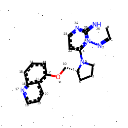 C/C=N\n1c(N2CCC[C@@H]2COc2cccc3ncccc23)ccnc1=N